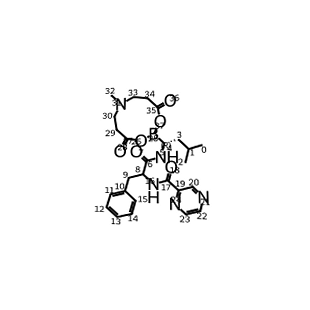 CC(C)C[C@H](NC(=O)C(Cc1ccccc1)NC(=O)c1cnccn1)B1OC(=O)CCN(C)CCC(=O)O1